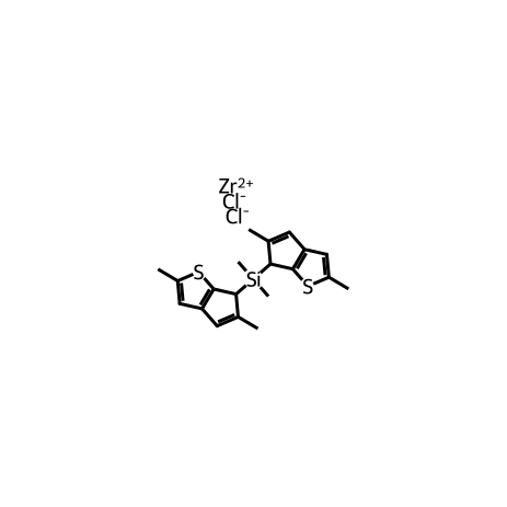 CC1=Cc2cc(C)sc2C1[Si](C)(C)C1C(C)=Cc2cc(C)sc21.[Cl-].[Cl-].[Zr+2]